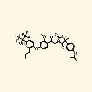 CCCc1nc(C(O)(C(F)(F)F)C(F)(F)F)ccc1Oc1ccc(C(=O)CN2C(=O)NC(C)(c3ccc(OC(C)C)cc3)C2=O)c(OC)c1